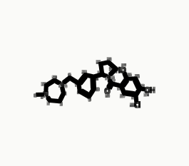 CN1CCCN(Cc2cccc(C3CCCN3C(=O)c3cc(Cl)c(O)cc3O)c2)CC1